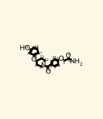 NC(=O)COc1ccc(C(=O)N2CCC(Oc3cccc(O)c3)CC2)cc1